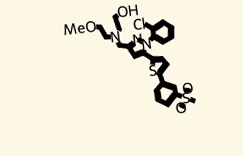 COCCN(CCO)Cc1cc(-c2ccc(-c3cccc(S(C)(=O)=O)c3)s2)n(-c2ccccc2Cl)n1